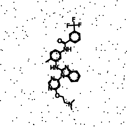 Cc1ccc(NC(=O)c2cccc(C(F)(F)F)c2)cc1Nc1nc2ccccc2n1-c1cc(OCCN(C)C)ncn1